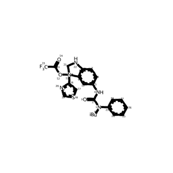 CCC(C)N(C(=O)Nc1ccc2c(c1)[N+](OC(=O)C(F)(F)F)(c1cscn1)CN2)c1ccccc1